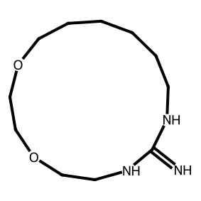 N=C1NCCCCCCOCCOCCN1